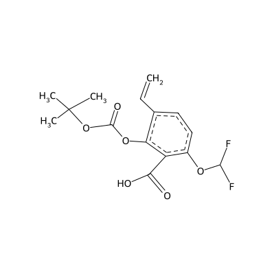 C=Cc1ccc(OC(F)F)c(C(=O)O)c1OC(=O)OC(C)(C)C